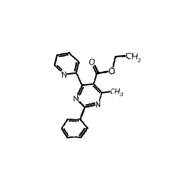 CCOC(=O)c1c(C)nc(-c2ccccc2)nc1-c1ccccn1